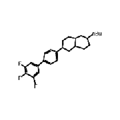 CCCCC1CCC2CC(c3ccc(-c4cc(F)c(F)c(F)c4)cc3)CCC2C1